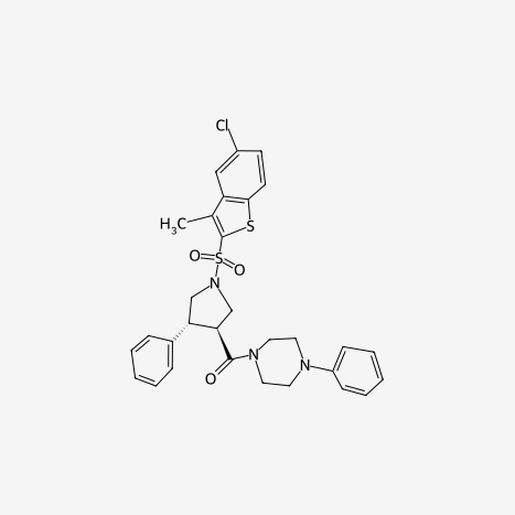 Cc1c(S(=O)(=O)N2C[C@@H](C(=O)N3CCN(c4ccccc4)CC3)[C@H](c3ccccc3)C2)sc2ccc(Cl)cc12